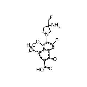 COc1c(N2CCC(N)(CF)C2)c(F)cc2c(=O)c(C(=O)O)cn(C3CC3)c12